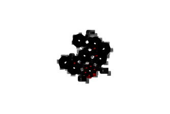 CN1c2ccccc2N(c2cc(-c3nc4ccccc4o3)c(N3c4ccccc4N(C)c4ccccc43)c(N3c4ccccc4N(C)c4ccccc43)c2-c2nc3ccccc3o2)c2ccccc21